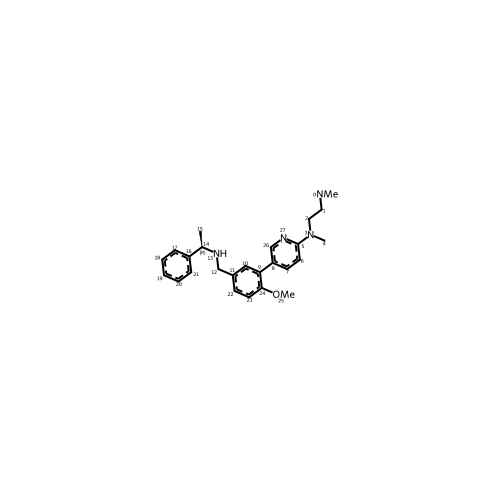 CNCCN(C)c1ccc(-c2cc(CN[C@H](C)c3ccccc3)ccc2OC)cn1